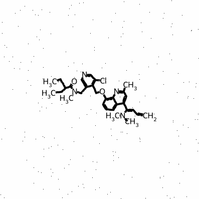 C=C/C=C(/c1cc(C)nc2c(OCc3c(Cl)cncc3CN(C)C(=O)C(CC)CC)cccc12)N(C)C